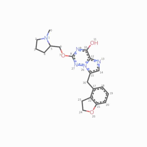 CN1CCCC1COc1nc(O)c2ncc(Cc3cccc4c3CCO4)n2n1